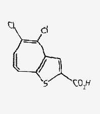 O=C(O)c1cc2c(Cl)c(Cl)ccc2s1